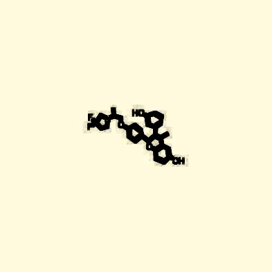 CC1=C(c2cccc(O)c2)C(c2ccc(OCC(C)N3CCC(F)(F)C3)cc2)Oc2ccc(O)cc21